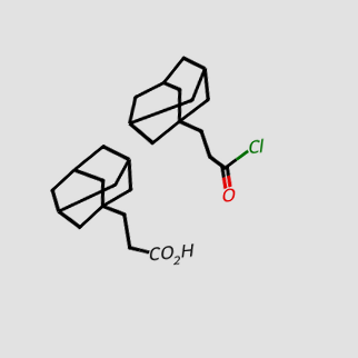 O=C(Cl)CCC12CC3CC(CC(C3)C1)C2.O=C(O)CCC12CC3CC(CC(C3)C1)C2